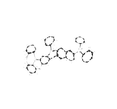 c1ccc(N(c2ccccc2)c2ccc3cc4c5cc6c(cc5n(-c5ccccc5)c4cc3c2)B2c3ccccc3Oc3cccc(c32)O6)cc1